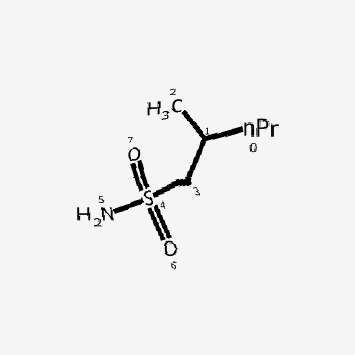 CCCC(C)CS(N)(=O)=O